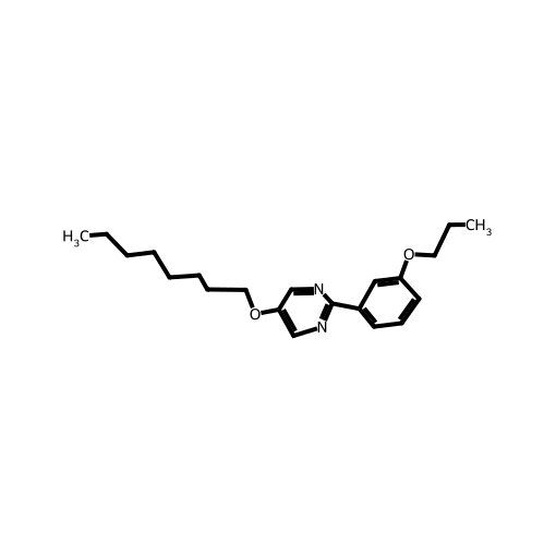 CCCCCCCCOc1cnc(-c2cccc(OCCC)c2)nc1